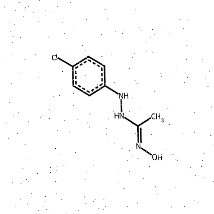 C/C(=N\O)NNc1ccc(Cl)cc1